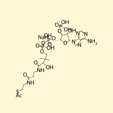 CC(=O)SCCNC(=O)CCNC(=O)C(O)C(C)(C)COP(=O)(O)OP(=O)(O)OC[C@H]1O[C@@H](n2cnc3c(N)ncnc32)[C@H](O)[C@@H]1OP(=O)(O)O.[NaH]